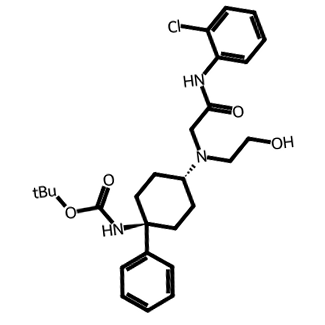 CC(C)(C)OC(=O)N[C@]1(c2ccccc2)CC[C@@H](N(CCO)CC(=O)Nc2ccccc2Cl)CC1